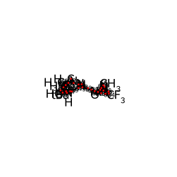 Cc1ncsc1-c1ccc([C@H](C)NC(=O)C2C[C@@H](O)CN2C(=O)C(NC(=O)CCCCCc2cnnn2CCCCCCCNC(=O)c2ccc3c(c2)c2cn(C)nc2n3-c2ccc(C(F)(F)F)cc2)C(C)(C)C)cc1